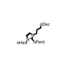 CCCCCCCCCCCCCn1cc[n+](CCCCCC)c1CCCCC